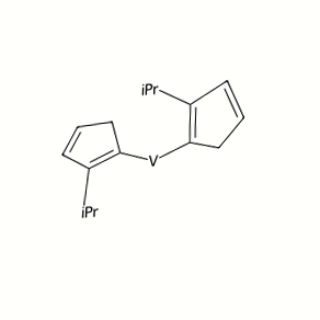 CC(C)C1=[C]([V][C]2=C(C(C)C)C=CC2)CC=C1